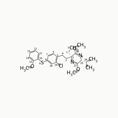 CC[C@@]1(CCc2ccc(Sc3ccccc3OC)cc2Cl)N=C(OC)[C@@H](C(C)C)N=C1OC